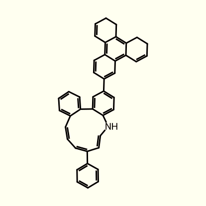 C1=Cc2c(c3c(c4cc(-c5ccc6c(c5)-c5ccccc5\C=C/C=C(c5ccccc5)\C=C\N6)ccc24)C=CCC3)CC1